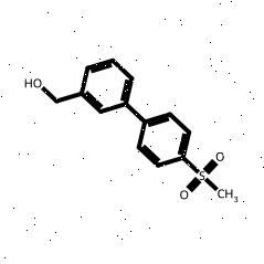 CS(=O)(=O)c1ccc(-c2cccc(CO)c2)cc1